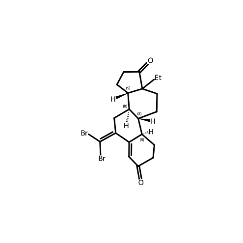 CCC12CC[C@H]3[C@@H](CC(=C(Br)Br)C4=CC(=O)CC[C@@H]43)[C@@H]1CCC2=O